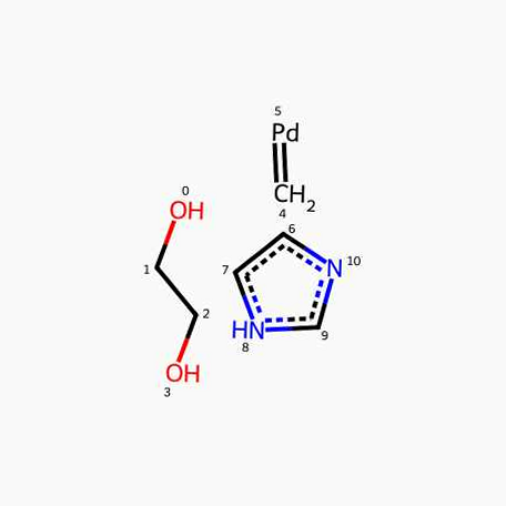 OCCO.[CH2]=[Pd].c1c[nH]cn1